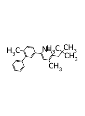 Cc1cc(-c2ccc(C)c(-c3ccccc3)c2)ncc1CC(C)(C)C